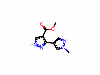 COC(=O)c1c[nH]nc1-c1cnn(C)c1